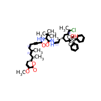 COC1=CC[C@@H]([C@@H](C)/C=C(C)/C=C\C#CC(=O)N[C@H](C(=O)N/C=C\C[C@H](C/C=C(\C)Cl)CC(C)(C)[Si](O)(c2ccccc2)c2ccccc2)C(C)(C)C)OC1=O